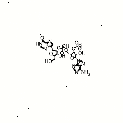 Nc1ncnc2c1ncn2[C@@H]1O[C@H](COP(=O)(O)O[C@@H]2[C@H](O)[C@@H](CO)O[C@H]2c2cnc3c(=O)[nH]cnn23)[C@@H](O[PH](=O)O)[C@H]1O